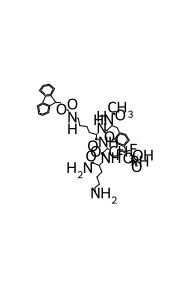 CC(=O)NC(Cc1ccc(C(F)(F)O[PH](=O)O)cc1)C(=O)NC(CCCCNC(=O)OCC1c2ccccc2-c2ccccc21)C(=O)NC(C)C(=O)NC(CCCCN)C(N)=O